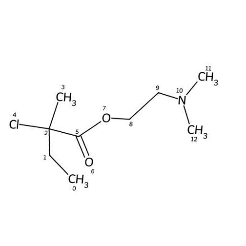 CCC(C)(Cl)C(=O)OCCN(C)C